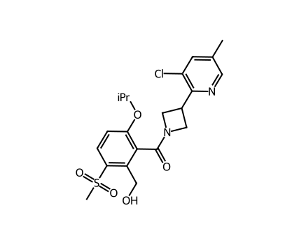 Cc1cnc(C2CN(C(=O)c3c(OC(C)C)ccc(S(C)(=O)=O)c3CO)C2)c(Cl)c1